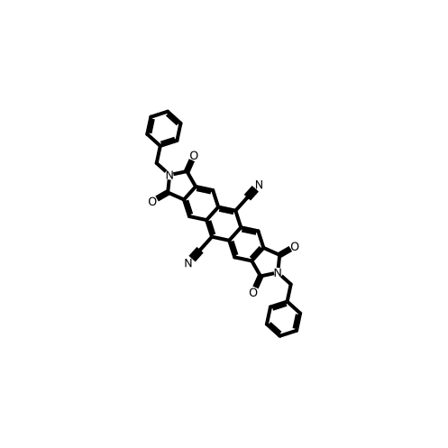 N#Cc1c2cc3c(=O)n(Cc4ccccc4)c(=O)c3cc2c(C#N)c2cc3c(=O)n(Cc4ccccc4)c(=O)c3cc12